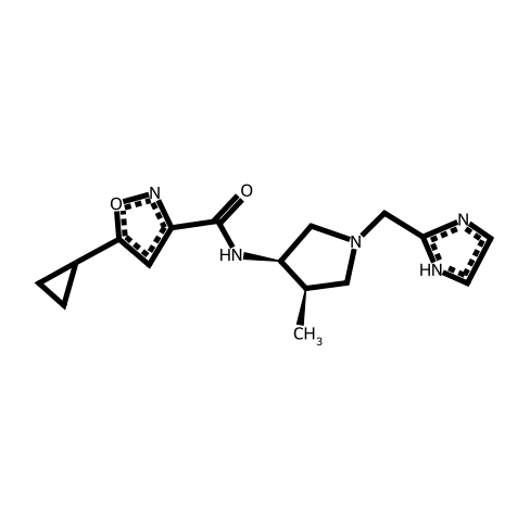 C[C@@H]1CN(Cc2ncc[nH]2)C[C@@H]1NC(=O)c1cc(C2CC2)on1